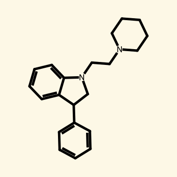 c1ccc(C2CN(CCN3CCCCC3)c3ccccc32)cc1